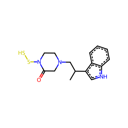 CC(CN1CCN(SS)C(=O)C1)c1c[nH]c2ccccc12